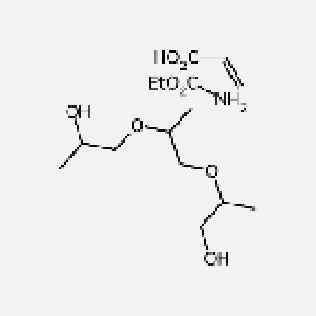 C=CC(=O)O.CC(O)COC(C)COC(C)CO.CCOC(N)=O